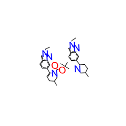 CCn1cc2ccc(C3=CCC(C)CN3C(=O)OC(C)(C)C)cc2n1.CCn1cc2ccc(C3=NCC(C)CC3)cc2n1